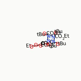 CCOCCOCCOc1ccc(CC(C(=O)OC(C)(C)C)N2CCN(C(COC(C)(C)C)C(=O)OCC)CCN(C(COC(C)(C)C)C(=O)OCC)CCN(C(COC(C)(C)C)C(=O)OCC)CC2)cc1